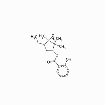 CCC1CC(OC(=O)c2ccccc2O)C(C)(C)C1(C)C